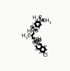 C[C@H](CNS(=O)(=O)c1ccc(N(C)C)cc1)CNS(=O)(=O)N1CCc2cc(Cl)ccc2C1